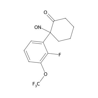 O=NC1(c2cccc(OC(F)(F)F)c2F)CCCCC1=O